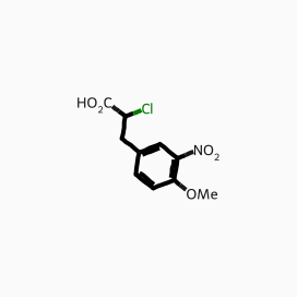 COc1ccc(CC(Cl)C(=O)O)cc1[N+](=O)[O-]